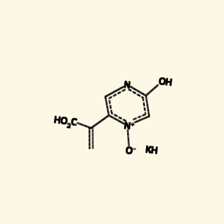 C=C(C(=O)O)c1cnc(O)c[n+]1[O-].[KH]